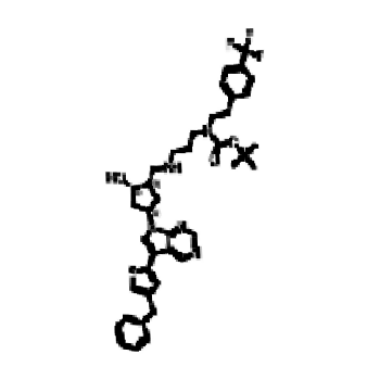 CC(C)(C)OC(=O)N(CCCNC[C@H]1C[C@@H](n2cc(-c3cc(Cc4ccccc4)cs3)c3cncnc32)C[C@@H]1O)CCc1ccc(C(F)(F)F)cc1